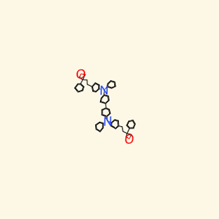 c1ccc(N(c2ccc(CCC3(c4ccccc4)COC3)cc2)c2ccc(-c3ccc(N(c4ccccc4)c4ccc(CCC5(c6ccccc6)COC5)cc4)cc3)cc2)cc1